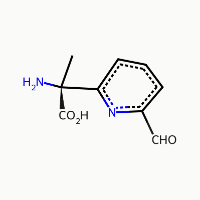 C[C@](N)(C(=O)O)c1cccc(C=O)n1